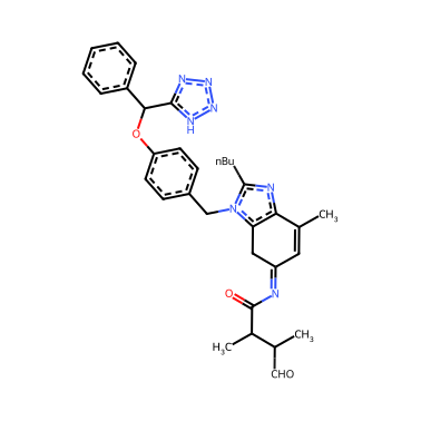 CCCCc1nc2c(n1Cc1ccc(OC(c3ccccc3)c3nnn[nH]3)cc1)CC(=NC(=O)C(C)C(C)C=O)C=C2C